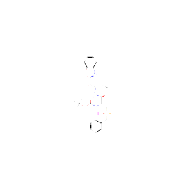 CCC[C@H](NC(=O)[C@H](CS(=O)(=O)Cc1ccccc1)NC(=O)OC(C)(C)C)C(O)c1nc2ccccc2o1